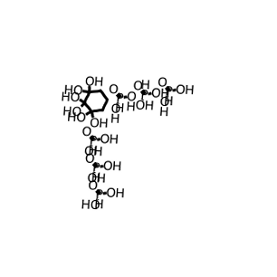 O=[PH](O)O.O=[PH](O)O.O=[PH](O)O.O=[PH](O)O.O=[PH](O)O.O=[PH](O)O.OC1(O)CCCC(O)(O)C1(O)O